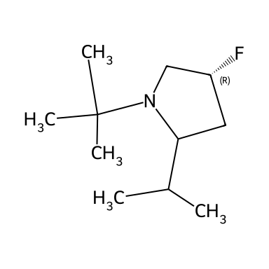 CC(C)C1C[C@@H](F)CN1C(C)(C)C